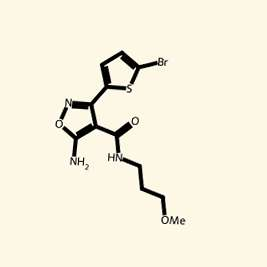 COCCCNC(=O)c1c(-c2ccc(Br)s2)noc1N